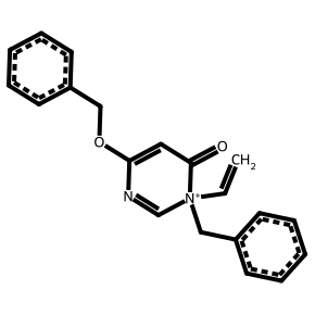 C=C[N+]1(Cc2ccccc2)C=NC(OCc2ccccc2)=CC1=O